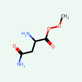 COOC(=O)C(N)CC(N)=O